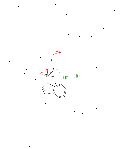 Cl.Cl.[CH3][Ti](=[O])(=[SiH2])([O]CCO)[CH]1C=Cc2ccccc21